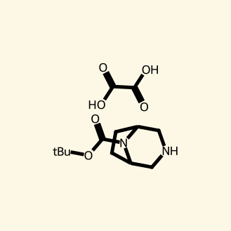 CC(C)(C)OC(=O)N1C2CCC1CNC2.O=C(O)C(=O)O